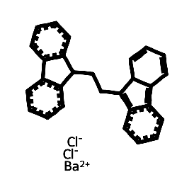 C1=CC2=c3ccccc3=C(CCC3c4ccccc4-c4ccccc43)C2C=C1.[Ba+2].[Cl-].[Cl-]